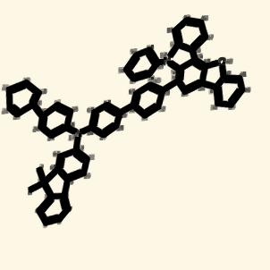 CC1(C)c2ccccc2-c2ccc(N(c3ccc(-c4ccccc4)cc3)c3ccc(-c4ccc(-c5cc6c7ccccc7oc6c6c7ccccc7n(-c7ccccc7)c56)cc4)cc3)cc21